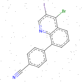 N#Cc1ccc(-c2cccc3c(Br)c(I)cnc23)cc1